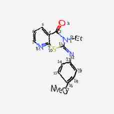 CCn1c(=O)c2cccnc2s/c1=N\c1ccc(OC)cc1